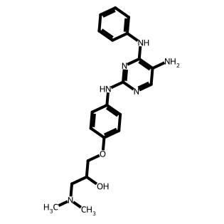 CN(C)CC(O)COc1ccc(Nc2ncc(N)c(Nc3ccccc3)n2)cc1